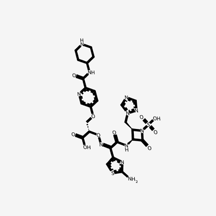 Nc1nc(/C(=N/O[C@@H](COc2ccc(C(=O)NC3CCNCC3)nc2)C(=O)O)C(=O)N[C@@H]2C(=O)N(S(=O)(=O)O)[C@@H]2Cn2cncn2)cs1